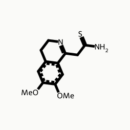 COc1cc2c(cc1OC)C(CC(N)=S)=NCC2